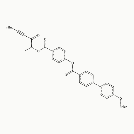 CCCCC#CC(=O)C(C)OC(=O)c1ccc(OC(=O)c2ccc(-c3ccc(OCCCCCC)cc3)cc2)cc1